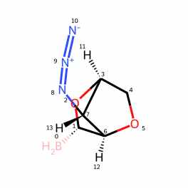 B[C@@H]1O[C@H]2CO[C@@H]1[C@@H]2N=[N+]=[N-]